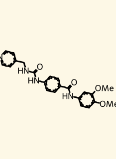 COc1ccc(NC(=O)c2ccc(NC(=O)NCc3ccncc3)cc2)cc1OC